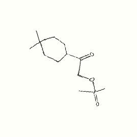 CC1(C)CCC(C(=O)COP(C)(C)=O)CC1